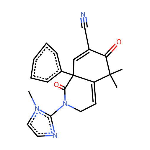 Cn1ccnc1N1CC=C2C(C)(C)C(=O)C(C#N)=CC2(c2ccccc2)C1=O